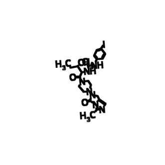 CCC(C)[C@@H](NC(=O)Nc1ccc(I)cc1)C(=O)N1CCN(N2Cc3cnc(C)n3C2=O)CC1